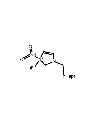 CCCCCCCCN1C=C[N+](CCC)([SH](=O)=O)C1